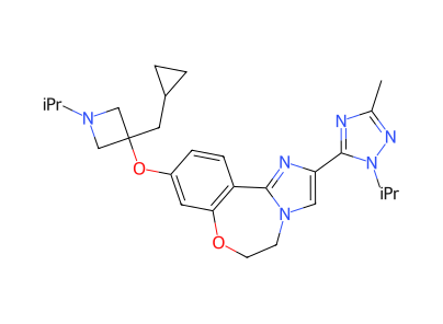 Cc1nc(-c2cn3c(n2)-c2ccc(OC4(CC5CC5)CN(C(C)C)C4)cc2OCC3)n(C(C)C)n1